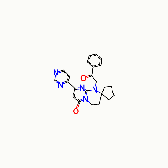 O=C(CN1c2nc(-c3ccncn3)cc(=O)n2CCC12CCCC2)c1ccccc1